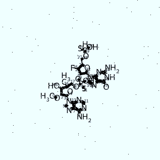 CO[C@H]1[C@@H](n2cnc3c(N)ncnc32)O[C@](C)(COP(O)(=S)O[C@@H]2[C@@H](F)[C@@H](CO[PH](O)=S)O[C@H]2n2cnc3c(=O)[nH]c(N)nc32)[C@H]1O